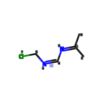 CC(C)=N/C=N\CCl